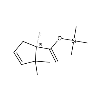 C=C(O[Si](C)(C)C)[C@]1(C)CC=CC1(C)C